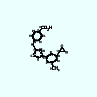 Cc1cc(-c2csc(Cc3ccc(C(=O)O)cc3)n2)cc(C2CC2)c1